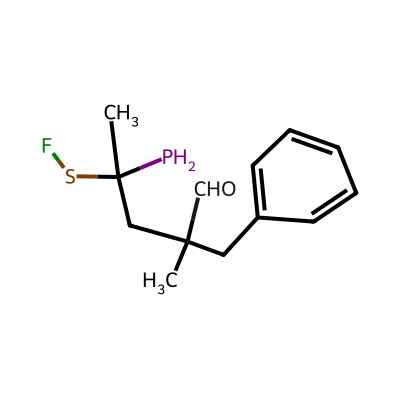 CC(C=O)(Cc1ccccc1)CC(C)(P)SF